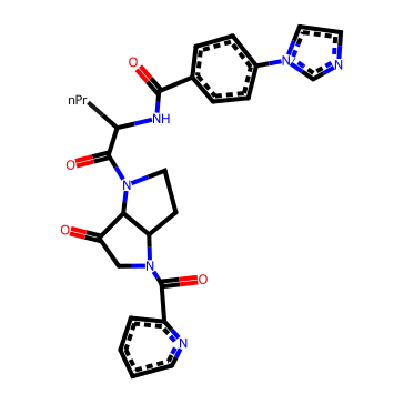 CCCC(NC(=O)c1ccc(-n2ccnc2)cc1)C(=O)N1CCC2C1C(=O)CN2C(=O)c1ccccn1